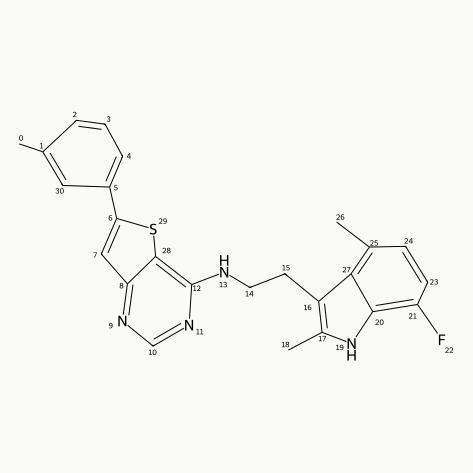 Cc1cccc(-c2cc3ncnc(NCCc4c(C)[nH]c5c(F)ccc(C)c45)c3s2)c1